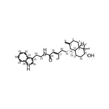 C=C1CC[C@@H]2C(C)(C)[C@H](O)CC[C@@]2(C)[C@@H]1CC/C(C)=C/C(=O)NCCc1c[nH]c2ccccc12